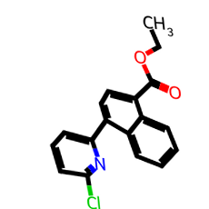 CCOC(=O)c1ccc(-c2cccc(Cl)n2)c2ccccc12